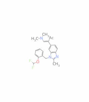 CC(=O)C(=CN(C)C)c1ccc2nc(C)n(Cc3ccccc3OC(F)F)c2c1